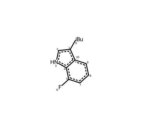 CCC(C)c1c[nH]c2c(F)cccc12